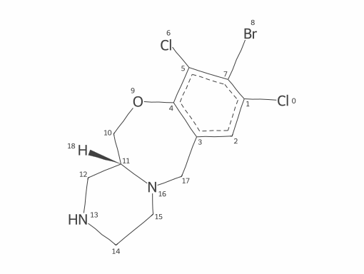 Clc1cc2c(c(Cl)c1Br)OC[C@H]1CNCCN1C2